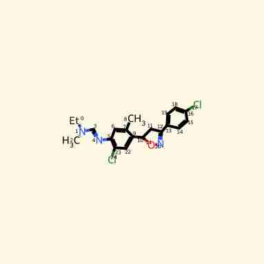 CCN(C)C=Nc1cc(C)c(C2CC(c3ccc(Cl)cc3)=NO2)cc1Cl